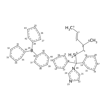 CC=CC(C)C[SiH2]C(c1ccccc1)(c1ccccc1)n1ccnc1.c1ccc(B(c2ccccc2)c2ccccc2)cc1